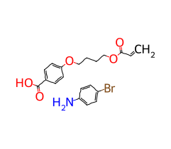 C=CC(=O)OCCCCOc1ccc(C(=O)O)cc1.Nc1ccc(Br)cc1